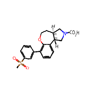 CS(=O)(=O)c1cccc(-c2cccc3c2OCC[C@H]2CN(C(=O)O)C[C@H]32)c1